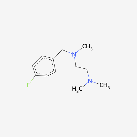 CN(C)CCN(C)Cc1ccc(F)cc1